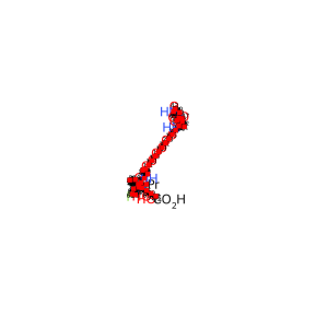 CC(C)c1c(C(=O)Nc2ccc(OCCOCCOCCOCCOCCOCCNc3cccc4c3C(=O)N(C3CCC(=O)NC3=O)C4=O)cc2)c(-c2ccccc2)c(-c2ccc(F)cc2)n1CCC(O)CC(O)CC(=O)O